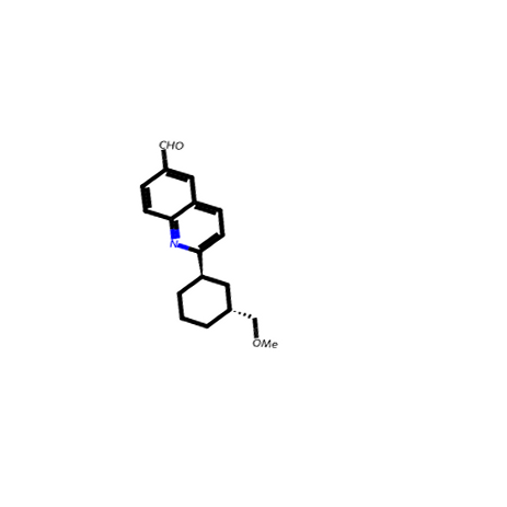 COC[C@@H]1CCC[C@@H](c2ccc3cc(C=O)ccc3n2)C1